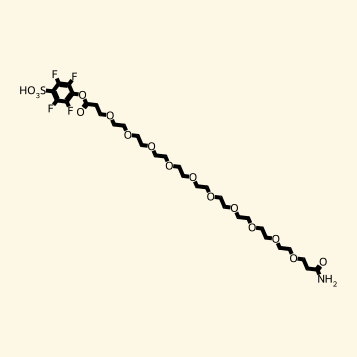 NC(=O)CCOCCOCCOCCOCCOCCOCCOCCOCCOCCOCCC(=O)Oc1c(F)c(F)c(S(=O)(=O)O)c(F)c1F